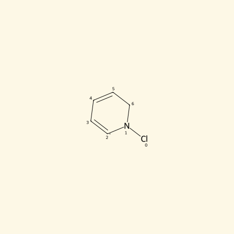 ClN1[C]=CC=CC1